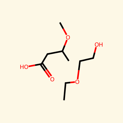 CCOCCO.COC(C)CC(=O)O